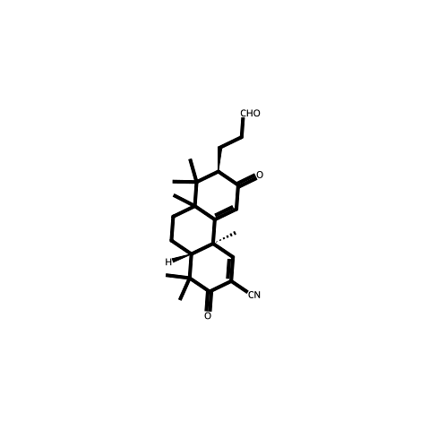 CC1(C)C(=O)C(C#N)=C[C@]2(C)C3=CC(=O)[C@H](CCC=O)C(C)(C)C3(C)CC[C@@H]12